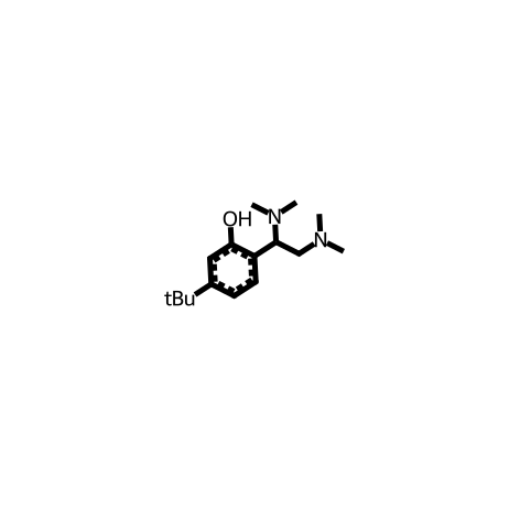 CN(C)CC(c1ccc(C(C)(C)C)cc1O)N(C)C